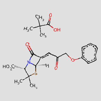 CC(C)(C)C(=O)O.CC1(C)S[C@@H]2C(=CC(=O)COc3ccccc3)C(=O)N2[C@H]1C(=O)O